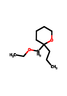 CCCC1([SiH2]OCC)CCCCO1